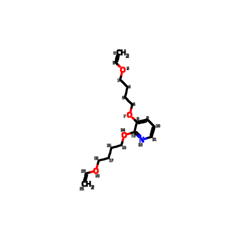 C=COCCCCOc1cccnc1OCCCCOC=C